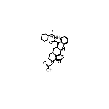 C[C@H](NC(=O)c1c(CN2CCN(CC(=O)O)C(=O)C2)c(-c2cccs2)nc2ccccc12)C1CCCCC1